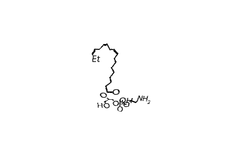 CC/C=C\C/C=C\C/C=C\CCCCCCCC(=O)O[C@H](CO)COP(=O)(O)OCCN